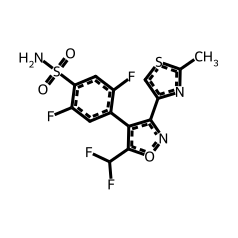 Cc1nc(-c2noc(C(F)F)c2-c2cc(F)c(S(N)(=O)=O)cc2F)cs1